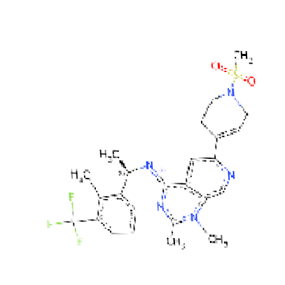 Cc1c([C@@H](C)/N=c2\nc(C)n(C)c3cnc(C4=CCN(S(C)(=O)=O)CC4)cc23)cccc1C(F)(F)F